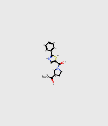 COC(=O)C1CCN(C(=O)c2cnc(-c3ccccc3)s2)C1